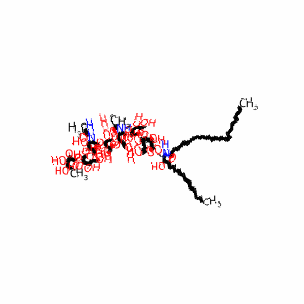 CCCCCCCC/C=C\CCCCCCCCCCCCCC(=O)N[C@@H](CO[C@@H]1OC(CO)[C@@H](O[C@@H]2OC(CO)[C@H](O)[C@H](O[C@@H]3OC(CO)[C@@H](O)[C@H](O[C@@H]4OC(CO)[C@H](O)[C@H](O[C@@H]5OC(CO)[C@@H](O[C@@H]6OC(CO)[C@H](O)[C@H](O)C6O[C@H]6OC(C)[C@@H](O)C(O)[C@@H]6O)[C@H](O)C5NC(C)=O)C4O)C3NC(C)=O)C2O)[C@H](O)C1O)[C@H](O)/C=C/CCCCCCCCCCCCC